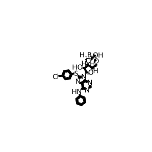 B[PH]1(O)OC[C@H]2O[C@@H](n3c(Sc4ccc(Cl)cc4)nc4c(Nc5ccccc5)ncnc43)C(O)[C@H]2O1